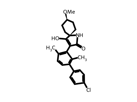 CO[C@H]1CC[C@@]2(CC1)NC(=O)C(c1c(C)ccc(-c3ccc(Cl)cc3)c1C)=C2O